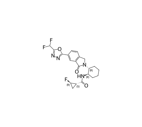 O=C(N[C@@H]1CCCC[C@H]1N1Cc2ccc(-c3nnc(C(F)F)o3)cc2C1=O)[C@@H]1C[C@H]1F